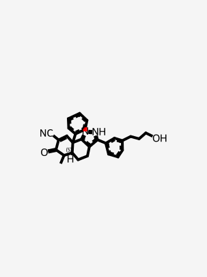 CC1C(=O)C(C#N)=CC2(c3ccccc3)c3n[nH]c(-c4cccc(CCCO)c4)c3CC[C@@H]12